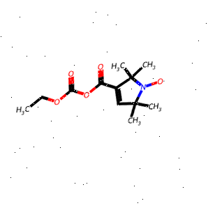 CCOC(=O)OC(=O)C1=CC(C)(C)N([O])C1(C)C